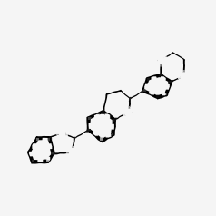 c1ccc2c(c1)OC(c1ccc3c(c1)CCC(c1ccc4c(c1)OCCO4)O3)O2